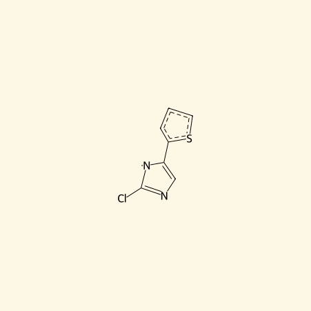 ClC1=NC=C(c2cccs2)[N]1